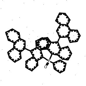 O=P(c1ccccc1)(c1c2ccccc2c(-c2cc3ccccc3c3ccccc23)c2ccccc12)c1c2ccccc2c(-c2cc3ccccc3c3ccccc23)c2ccccc12